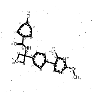 COc1ncc(-c2ccc(C3(NC(=O)c4ccc(Cl)cc4)COC3)cc2)c(N)n1